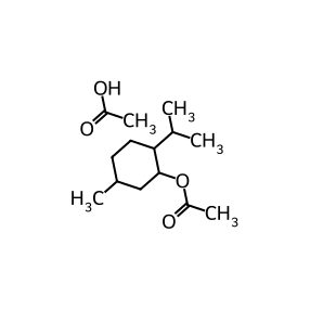 CC(=O)O.CC(=O)OC1CC(C)CCC1C(C)C